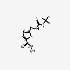 CC(C)(C)OC(=O)NCc1ncc(C(=N)NO)s1